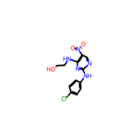 O=[N+]([O-])c1cnc(Nc2ccc(Cl)cc2)nc1NCCO